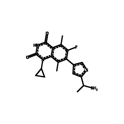 Cc1c(F)c(-c2csc(C(C)N)c2)c(C)c2c1c(=O)[nH]c(=O)n2C1CC1